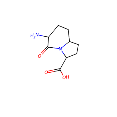 NC1CCC2CCC(C(=O)O)N2C1=O